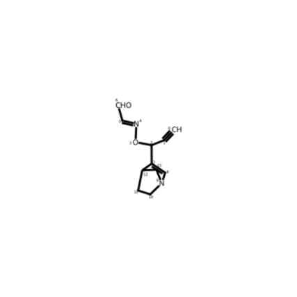 C#CC(ON=CC=O)C1=CN2CCC1C2